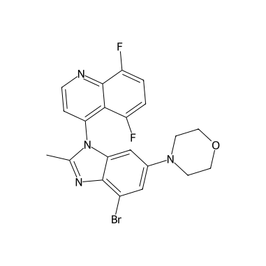 Cc1nc2c(Br)cc(N3CCOCC3)cc2n1-c1ccnc2c(F)ccc(F)c12